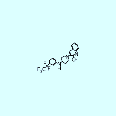 [O]c1nc2ccccc2cc1N1CCC(Nc2cccc(C(F)(F)C(F)(F)F)c2)CC1